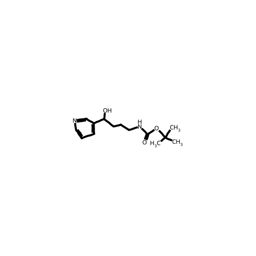 CC(C)(C)OC(=O)NCCCC(O)c1cccnc1